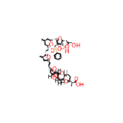 C=C1C[C@H](C[C@@H]2O[C@H](C[C@H](O)CO)[C@H](OC)[C@H]2CS(=O)(=O)c2ccccc2)O[C@@H](CC[C@@H]2O[C@@H](CC[C@]34C[C@H]5O[C@H]6[C@@H](O3)[C@H]3O[C@@H](C(C)C(=O)O)CC[C@@H]3O[C@H]6[C@H]5O4)CC2=C)C1